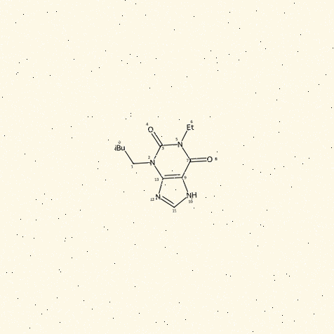 CCC(C)Cn1c(=O)n(CC)c(=O)c2[nH]cnc21